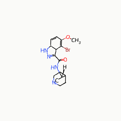 COC1=C(Br)C2C(C(=O)N[C@H]3CN4CCC3CC4)=NNC2C=C1